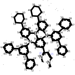 C=N/C=C\C(=N/C)c1cc2c3c(c1)N(c1cc(-c4ccccc4)cc(-c4ccccc4)c1)c1ccc(C4CCCCC4)cc1B3c1cc(C3CCCCC3)ccc1N2c1cc(-c2ccccc2)cc(-c2ccccc2)c1